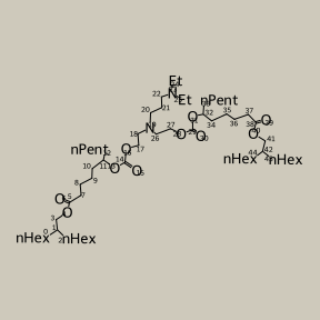 CCCCCCC(CCCCCC)COC(=O)CCCCC(CCCCC)OC(=O)OCCN(CCCN(CC)CC)CCOC(=O)OC(CCCCC)CCCCC(=O)OCC(CCCCCC)CCCCCC